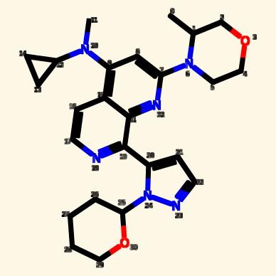 CC1COCCN1c1cc(N(C)C2CC2)c2ccnc(-c3ccnn3C3CCCCO3)c2n1